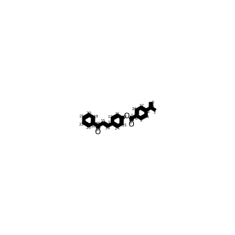 C=C(C)c1ccc(C(=O)Oc2ccc(C=CC(=O)c3ccccc3)cc2)cc1